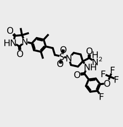 Cc1cc(N2C(=O)NC(=O)C2(C)C)cc(C)c1CCS(=O)(=O)N1CCC(NC(=O)c2ccc(F)c(OC(F)(F)F)c2)(C(N)=O)CC1